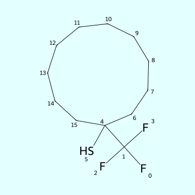 FC(F)(F)C1(S)CCCCCCCCCC1